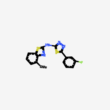 COc1cccc2sc(Nc3nnc(-c4cccc(F)c4)s3)nc12